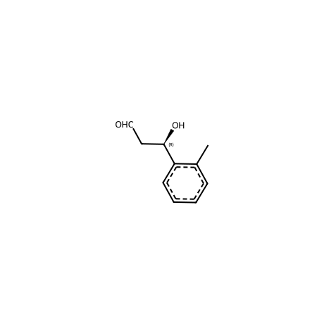 Cc1ccccc1[C@H](O)CC=O